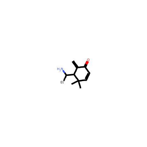 C=C1C(=O)C=CC(C)(C)C1C(N)CC